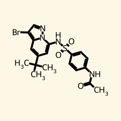 CC(=O)Nc1ccc(S(=O)(=O)Nc2cc(C(C)(C)C)cc3c(Br)cnn23)cc1